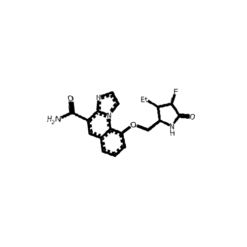 CCC1C(COc2cccc3cc(C(N)=O)c4nccn4c23)NC(=O)C1F